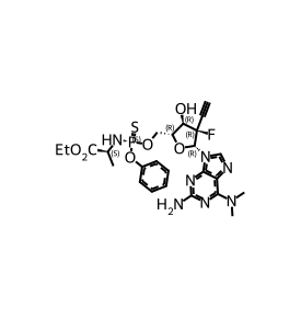 C#C[C@@]1(F)[C@H](O)[C@@H](CO[P@@](=S)(N[C@@H](C)C(=O)OCC)Oc2ccccc2)O[C@H]1n1cnc2c(N(C)C)nc(N)nc21